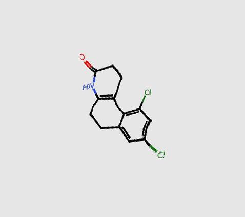 O=C1CCC2=C(CCc3cc(Cl)cc(Cl)c32)N1